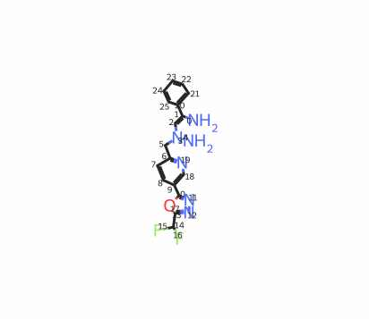 N/C(=C\N(N)Cc1ccc(-c2nnc(C(F)F)o2)cn1)c1ccccc1